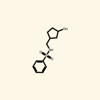 O=S(=O)(NCC1CCC(O)C1)c1ccccc1